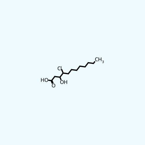 CCCCCCCCC(Cl)C(O)CC(=O)O